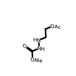 COC(=O)NNCCOC(C)=O